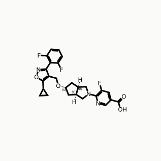 O=C(O)c1cnc(N2C[C@H]3C[C@H](OCc4c(-c5c(F)cccc5F)noc4C4CC4)C[C@H]3C2)c(F)c1